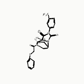 O=C1[C@H]2[C@H]3CC(CN3C(=O)CSc3ccccc3)N2C(=O)N1c1cccc(C(F)(F)F)c1